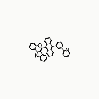 c1ccc(-c2cccc(-c3c4ccccc4c(-c4oc5ccccc5c5nc6ccccc6c4-5)c4ccccc34)c2)nc1